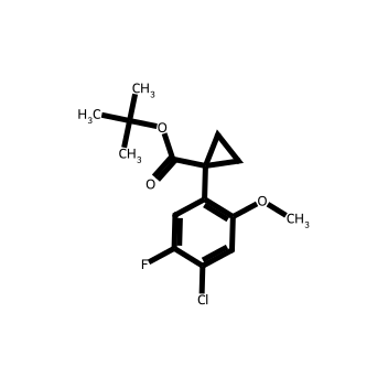 COc1cc(Cl)c(F)cc1C1(C(=O)OC(C)(C)C)CC1